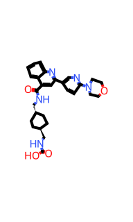 O=C(O)NC[C@H]1CC[C@H](CNC(=O)c2cc(-c3ccc(N4CCOCC4)nc3)nc3ccccc23)CC1